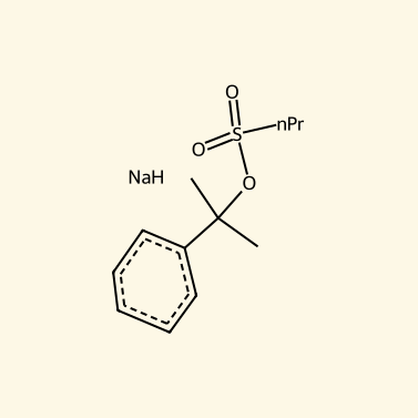 CCCS(=O)(=O)OC(C)(C)c1ccccc1.[NaH]